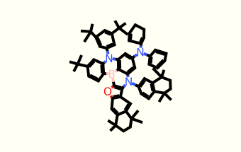 CC(C)(C)c1cc(N2c3cc(C(C)(C)C)ccc3B3c4oc5cc6c(cc5c4N(c4ccc5c(c4)C(C)(C)CCC5(C)C)c4cc(N(C5=CCCC=C5)c5ccccc5)cc2c43)C(C)(C)CCC6(C)C)cc(C(C)(C)C)c1